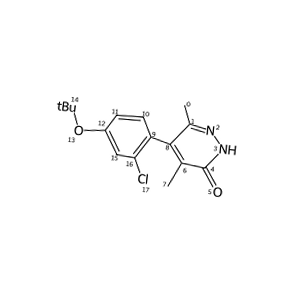 Cc1n[nH]c(=O)c(C)c1-c1ccc(OC(C)(C)C)cc1Cl